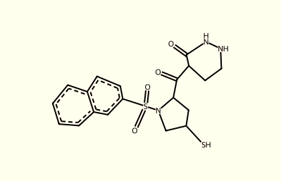 O=C1NNCCC1C(=O)C1CC(S)CN1S(=O)(=O)c1ccc2ccccc2c1